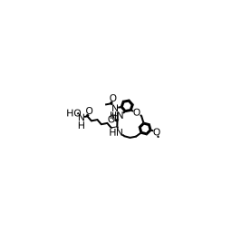 COc1cc2cc(c1)COc1cccc(NC(C)=O)c1NC(=O)[C@H](CCCCCC(=O)NO)NCCC2